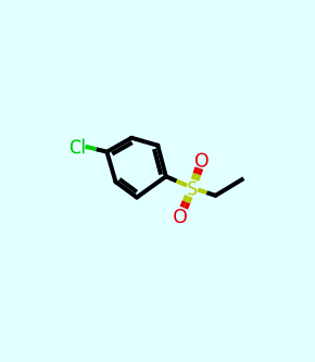 CCS(=O)(=O)c1ccc(Cl)cc1